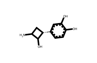 NC1C[C@H](c2ccc(O)c(O)c2)C1O